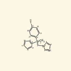 C[Si](Cn1ccnc1)(c1ccccc1)c1ccc(F)cc1